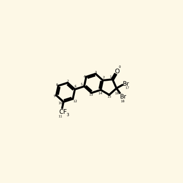 O=C1c2ccc(-c3cccc(C(F)(F)F)c3)cc2CC1(Br)Br